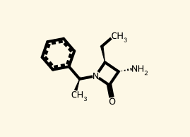 CC[C@H]1[C@H](N)C(=O)N1[C@@H](C)c1ccccc1